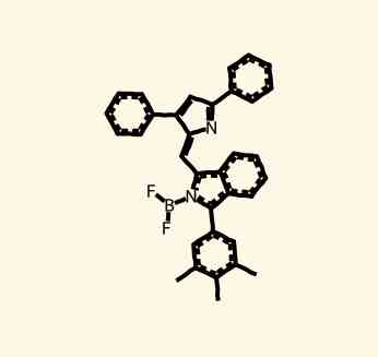 Cc1cc(-c2c3ccccc3c(/C=C3\N=C(c4ccccc4)C=C3c3ccccc3)n2B(F)F)cc(C)c1C